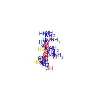 N=C(N)NCCC[C@H](NC(=O)[C@@H]1CCCN1C(=O)[C@H](CS)NC(=O)[C@H](CC(N)=O)NC(=O)[C@H](CCCNC(N)=O)NC(=O)[C@H](CC1CCCCC1)NC(=O)[C@H](Cc1ccc(O)cc1)NC(=O)[C@@H](N)CS)C(=O)NCC(N)=O